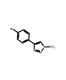 Cn1cc(-c2ccc(Br)cc2)nn1